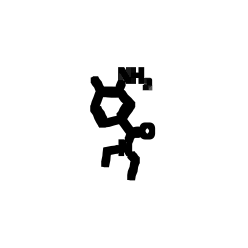 CCN(CC)C(=O)c1ccc(C)c(N)c1